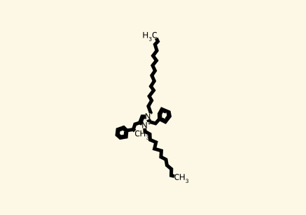 CCCCCCCCCCCCCCCCn1cc(CC(C)c2ccccc2)[n+](CCCCCCCCCCCC)c1Cc1ccccc1